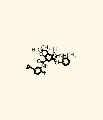 Cc1cccc(Cl)c1Nc1nc2cc(C(=O)Nc3cc(C4CC4)ccc3F)c3c(c2[nH]1)CC(C)(C)O3